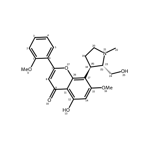 COc1ccccc1-c1cc(=O)c2c(O)cc(OC)c([C@H]3CCN(C)[C@@H]3CO)c2o1